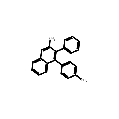 Bc1ccc(-c2c(-c3ccccc3)c(C)cc3ccccc23)cc1